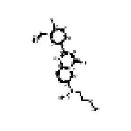 CCCN(CCCC(C)C)c1ccc2nc(-c3ccc(C)c(C=N)c3)cc(=O)n2c1